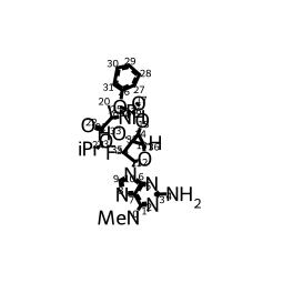 CNc1nc(N)nc2c1ncn2[C@@H]1O[C@@H]2C(O[P@@](=O)(N[C@H](C)C(=O)OC(C)C)Oc3ccccc3)[C@]2(O)[C@H]1F